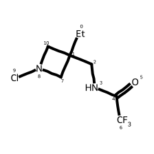 CCC1(CNC(=O)C(F)(F)F)CN(Cl)C1